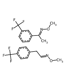 CON=C(C)c1cccc(C(F)(F)F)c1.CON=CCc1ccc(C(F)(F)F)cc1